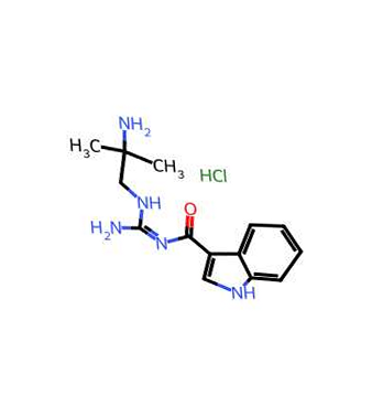 CC(C)(N)CNC(N)=NC(=O)c1c[nH]c2ccccc12.Cl